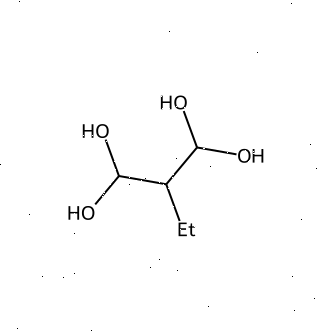 CCC(C(O)O)C(O)O